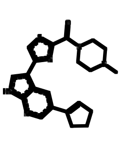 CN1CCN(C(=O)c2nc(-c3c[nH]c4ncc(C5=CCCC5)cc34)cs2)CC1